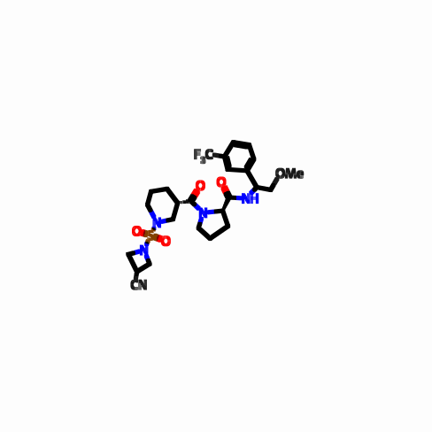 COCC(NC(=O)[C@H]1CCCN1C(=O)[C@H]1CCCN(S(=O)(=O)N2CC(C#N)C2)C1)c1cccc(C(F)(F)F)c1